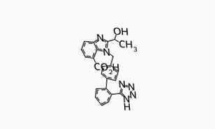 CC(O)c1nc2cccc(C(=O)O)c2n1Cc1ccc(-c2ccccc2-c2nnn[nH]2)cc1